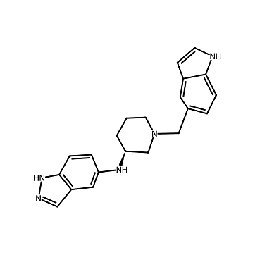 c1cc2cc(CN3CCC[C@H](Nc4ccc5[nH]ncc5c4)C3)ccc2[nH]1